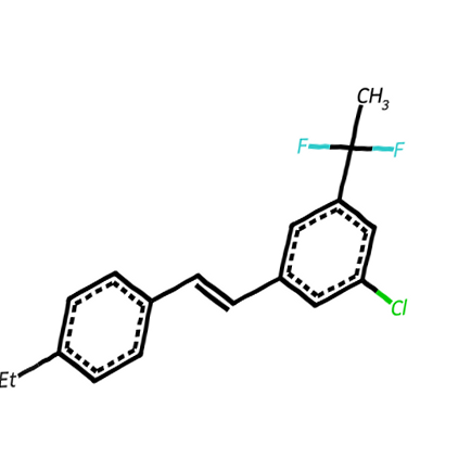 CCc1ccc(/C=C/c2cc(Cl)cc(C(C)(F)F)c2)cc1